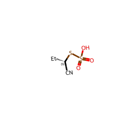 CC[C@@H](C#N)SS(=O)(=O)O